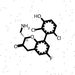 NC[C@@H]1Oc2c(cc(F)cc2-c2c(Cl)ccc(O)c2Cl)CC1=O